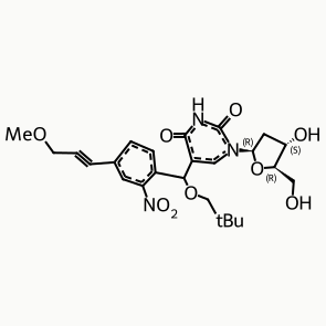 COCC#Cc1ccc(C(OCC(C)(C)C)c2cn([C@H]3C[C@H](O)[C@@H](CO)O3)c(=O)[nH]c2=O)c([N+](=O)[O-])c1